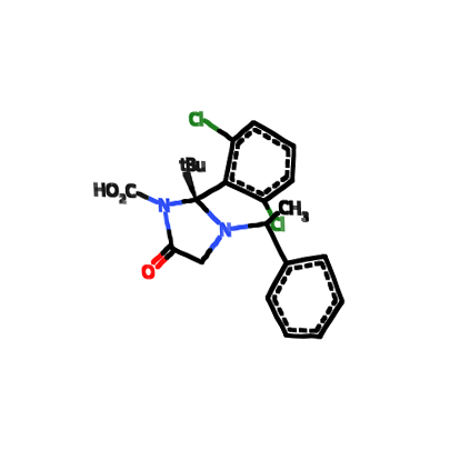 CC(c1ccccc1)N1CC(=O)N(C(=O)O)[C@@]1(c1c(Cl)cccc1Cl)C(C)(C)C